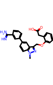 Cn1nc(COc2ccccc2CC(=O)O)c2cc(-c3cccc(C(=N)N)c3)ccc21